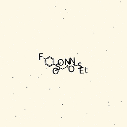 CCSc1nnc(CS(=O)(=O)c2ccc(F)cc2)o1